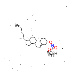 CC(C)CCC[C@@H](C)[C@H]1CCC2C3CC=C4CC(ON5O[C@@]5(CC(C)C)OS(=O)(=O)O)CC[C@]4(C)C3CC[C@@]21C